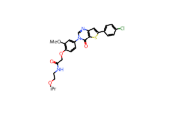 COc1cc(-n2cnc3cc(-c4ccc(Cl)cc4)sc3c2=O)ccc1OCC(=O)NCCOC(C)C